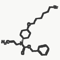 C=CCN(C(=O)OCc1ccccc1)[C@H]1CC[C@H](OCCCCCCBr)CC1